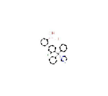 Clc1ccccc1C(c1ccccc1)(c1ccccc1)n1ccnc1.OB(O)c1ccccc1